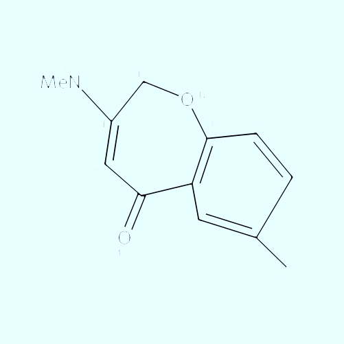 CNC1=CC(=O)c2cc(C)ccc2OC1